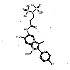 CCn1c(-c2ccc(O)cc2)c(C)c2cc(NC(=O)CCC(P(=O)(O)O)P(=O)(O)O)c(O)cc21